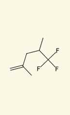 C=C(C)CC(C)C(F)(F)F